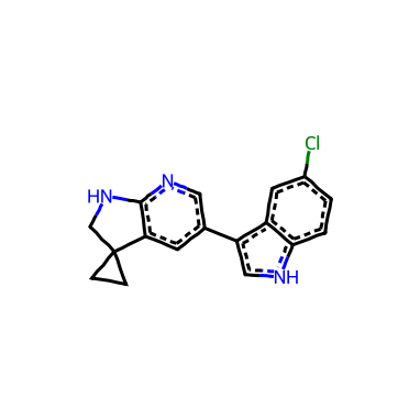 Clc1ccc2[nH]cc(-c3cnc4c(c3)C3(CC3)CN4)c2c1